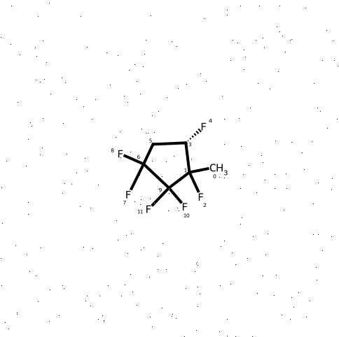 CC1(F)[C@@H](F)CC(F)(F)C1(F)F